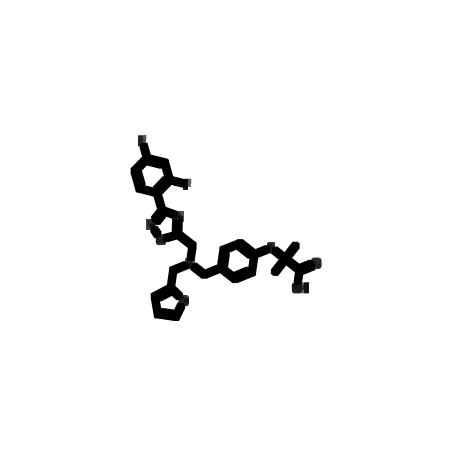 CC(C)(Sc1ccc(CN(Cc2ccco2)Cc2nc(-c3ccc(F)cc3F)no2)cc1)C(=O)O